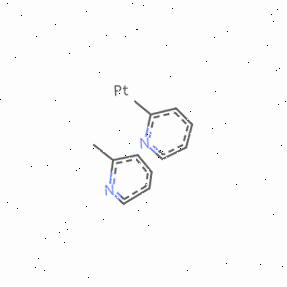 Cc1ccccn1.Cc1ccccn1.[Pt]